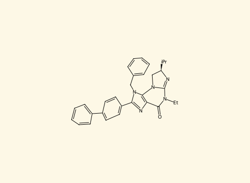 CCN1C(=O)c2nc(-c3ccc(-c4ccccc4)cc3)n(Cc3ccccc3)c2N2C[C@@H](C(C)C)N=C12